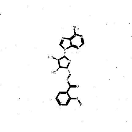 Nc1ncnc2c1ncn2[C@@H]1O[C@H](COC(=O)c2ccccc2SF)[C@@H](O)[C@H]1O